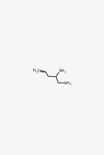 C=CCC([SiH3])C[SiH3]